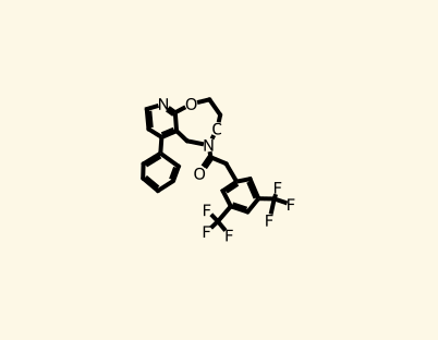 O=C(Cc1cc(C(F)(F)F)cc(C(F)(F)F)c1)N1CCCOc2nccc(-c3ccccc3)c2C1